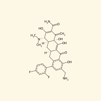 C=C1C(C(N)=O)=C(O)[C@@H](N(C)C)[C@@H]2C[C@@H]3Cc4c(-c5ccc(F)cc5F)cc(CN)c(O)c4C(=O)C3=C(O)[C@]12O